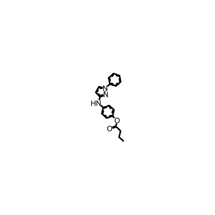 CCCC(=O)Oc1ccc(Nc2ccn(-c3ccccc3)n2)cc1